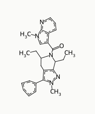 CCC1Cc2c(nn(C)c2-c2ccccc2)C(CC)N1C(=O)c1cn(C)c2ncccc12